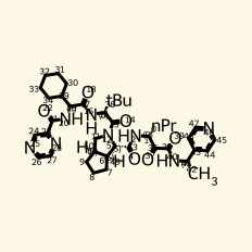 CCC[C@@H](NC(=O)[C@@H]1[C@H]2CCC[C@H]2CN1C(=O)[C@@H](NC(=O)[C@H](NC(=O)c1cnccn1)C1CCCCC1)C(C)(C)C)C(=O)C(=O)N[C@H](C)c1ccncc1